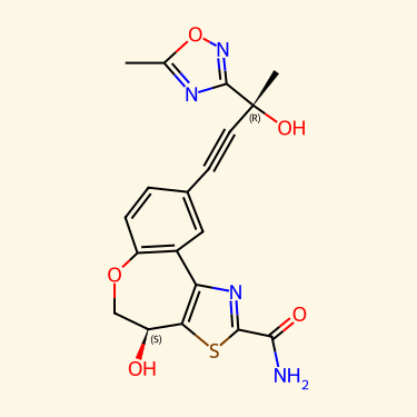 Cc1nc([C@](C)(O)C#Cc2ccc3c(c2)-c2nc(C(N)=O)sc2[C@@H](O)CO3)no1